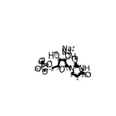 O=c1ccn(C2OC(COP(=O)([O-])[O-])C(O)C2O)c(=O)[nH]1.[Na+].[Na+]